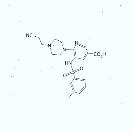 Cc1cccc(S(=O)(=O)Nc2cc(C(=O)O)cnc2N2CCN(CCC#N)CC2)c1